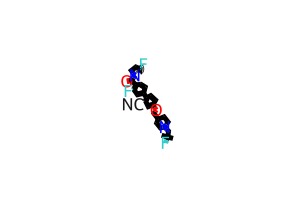 CC(C)(F)CN1CCC(COc2ccc(-c3ccc(C(=O)N4CC[C@H](F)C4)c(F)c3)c(C#N)c2)CC1